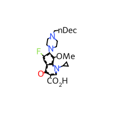 CCCCCCCCCCCN1CCN(c2c(F)cc3c(=O)c(C(=O)O)cn(C4CC4)c3c2OC)CC1